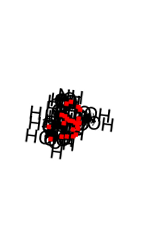 CN[C@H](OC(C)C)C(=O)N[C@H]1C(=O)N[C@@H](CC(N)=O)C(=O)N[C@H]2C(=O)N[C@H]3C(=O)NC(C(=O)N[C@H](C(=O)O)c4cc(O)cc(O)c4-c4cc3ccc4O)[C@H](O)c3ccc(c(Cl)c3)Oc3cc2cc(c3O[C@@H]2C[C@H](CO)[C@@H](O)[C@H](O)[C@H]2O[C@H]2C[C@](C)(N)[C@H](O)[C@H](C)O2)Oc2ccc(cc2Cl)[C@H]1O